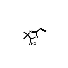 C=CC1=NC(C)(C)C(C=O)O1